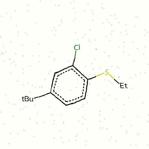 CCSc1ccc(C(C)(C)C)cc1Cl